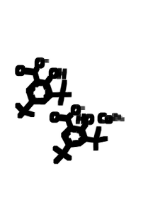 CC(C)(C)c1cc(C(=O)[O-])c(O)c(C(C)(C)C)c1.CC(C)(C)c1cc(C(=O)[O-])c(O)c(C(C)(C)C)c1.[Co+2]